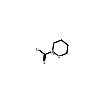 CCC(=O)[SiH]1CCCCO1